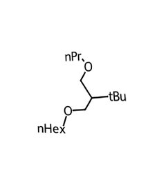 CCCCCCOCC(COCCC)C(C)(C)C